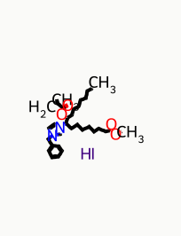 C=C(C)C(=O)OC(CCCCCCCC)C(CCCCCCCC(=O)OC)N1C=CN(Cc2ccccc2)C1.I